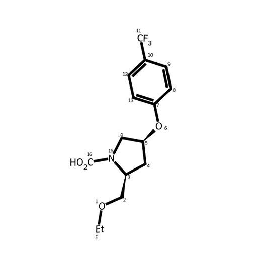 CCOC[C@@H]1C[C@H](Oc2ccc(C(F)(F)F)cc2)CN1C(=O)O